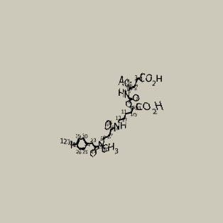 CC(=O)[C@H](CCC(=O)O)NC(=O)O[C@@H](CCCCNC(=O)CCN(C)C(=O)Cc1ccc([123I])cc1)C(=O)O